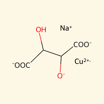 O=C([O-])C([O-])C(O)C(=O)[O-].[Cu+2].[Na+]